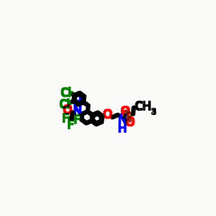 CCCS(=O)(=O)NCCOc1ccc2c(c1)C(Cc1ccc(Cl)c(Cl)c1)C(NC(=O)C(F)(F)F)CC2